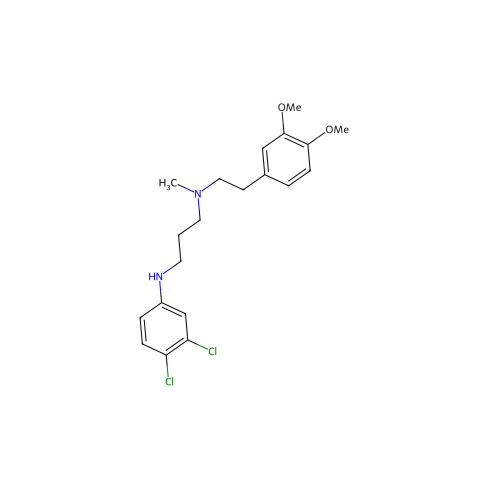 COc1ccc(CCN(C)CCCNc2ccc(Cl)c(Cl)c2)cc1OC